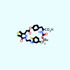 CC(C)(C)OC(=O)N[C@@H](Cc1ccc(OC(=O)Cc2nn(Cc3nc4cc(C(F)(F)F)ccc4s3)c(=O)c3cscc23)cc1)C(=O)O